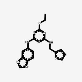 CCOc1nc(NCc2ccco2)nc(Nc2ccc3[nH]cnc3c2)n1